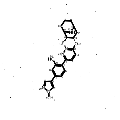 Cn1cc(-c2ccc(-c3ccc(O[C@H]4CC5CCCC(N5)[C@@H]4F)nn3)c(O)c2)cn1